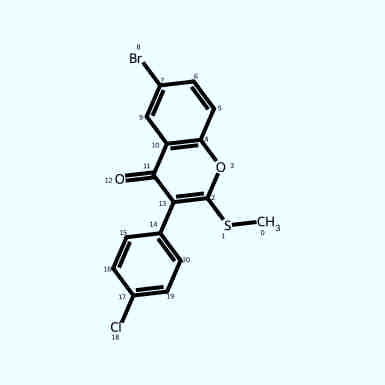 CSc1oc2ccc(Br)cc2c(=O)c1-c1ccc(Cl)cc1